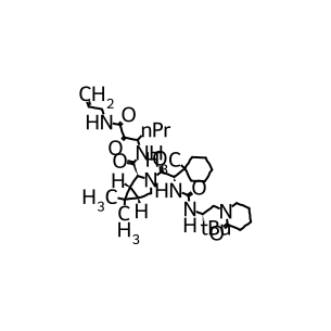 C=CCNC(=O)C(=O)C(CCC)NC(=O)[C@@H]1[C@@H]2[C@H](CN1C(=O)[C@@H](NC(=O)N[C@H](CN1CCCCC1=O)C(C)(C)C)C1(C)CCCCC1)C2(C)C